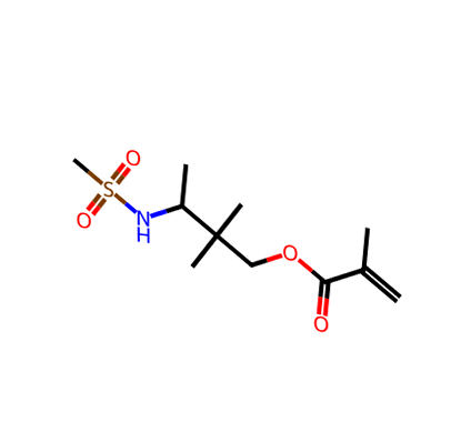 C=C(C)C(=O)OCC(C)(C)C(C)NS(C)(=O)=O